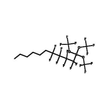 CCCCCCC(F)(F)C(F)(F)C(F)(F)C(F)(F)[Si](OC(F)(F)F)(OC(F)(F)F)OC(F)(F)F